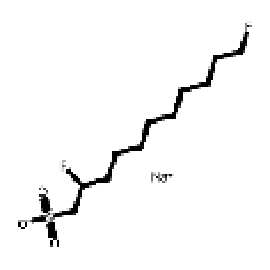 O=S(=O)([O-])CC(F)CCCCCCCCCF.[Na+]